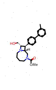 COC(=O)N1CCCCN2[C@H](CO)[C@@H](c3ccc(-c4cccc(C)c4)cc3)[C@@H]2C1